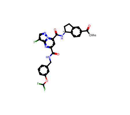 COC(=O)c1ccc2c(c1)CC[C@@H]2NC(=O)c1cc(C(=O)NCc2cccc(OC(F)F)c2)nc2c(F)cnn12